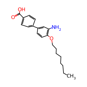 CCCCCCCCOc1ccc(-c2ccc(C(=O)O)cc2)cc1N